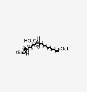 CCCCCCCC/C=C\CCCCCCCC(=O)N[C@@H](CCCCNC(=O)OC(C)(C)C)C(=O)O